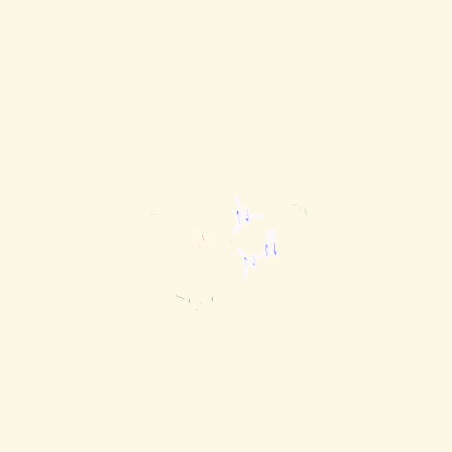 O=C(O)Cn1nc(Br)n(Cc2cccc(F)c2)c1=O